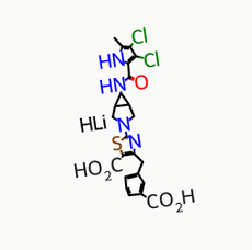 Cc1[nH]c(C(=O)NC2C3CN(c4nc(Cc5cccc(C(=O)O)c5)c(C(=O)O)s4)CC32)c(Cl)c1Cl.[LiH]